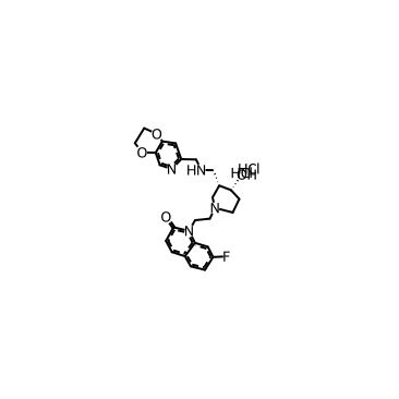 Cl.Cl.O=c1ccc2ccc(F)cc2n1CCN1CC[C@@H](O)[C@@H](CNCc2cc3c(cn2)OCCO3)C1